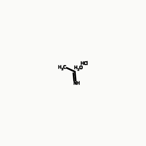 CC=N.Cl.O